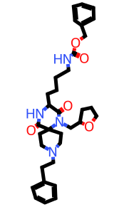 O=C(NCCCCC1NC(=O)C2(CCN(CCc3ccccc3)CC2)N(CC2CCCO2)C1=O)OCc1ccccc1